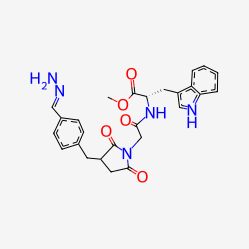 COC(=O)[C@H](Cc1c[nH]c2ccccc12)NC(=O)CN1C(=O)CC(Cc2ccc(C=NN)cc2)C1=O